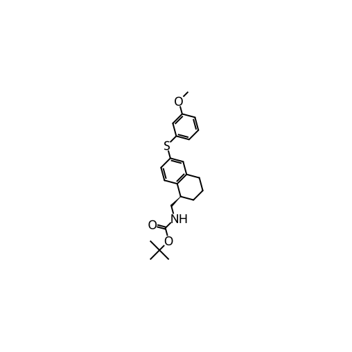 COc1cccc(Sc2ccc3c(c2)CCC[C@H]3CNC(=O)OC(C)(C)C)c1